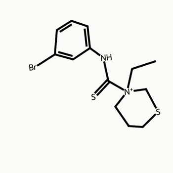 CC[N+]1(C(=S)Nc2cccc(Br)c2)CCCSC1